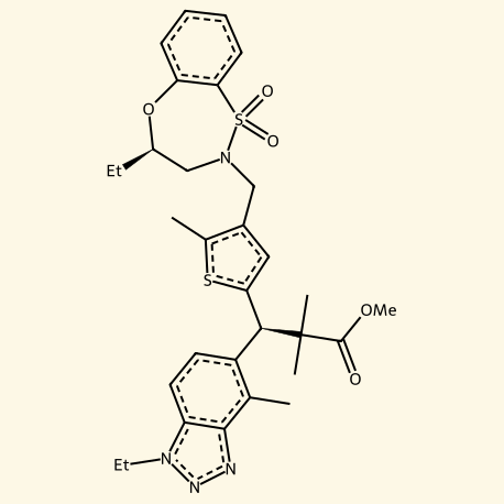 CC[C@@H]1CN(Cc2cc([C@H](c3ccc4c(nnn4CC)c3C)C(C)(C)C(=O)OC)sc2C)S(=O)(=O)c2ccccc2O1